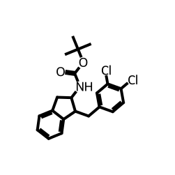 CC(C)(C)OC(=O)NC1Cc2ccccc2C1Cc1ccc(Cl)c(Cl)c1